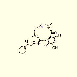 C/C1=C\C(=N/OCC(=O)N2CCCCC2)Cc2c(Cl)c(O)cc(O)c2C(=O)O[C@H](C)C/C=C/CC1